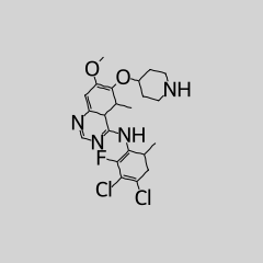 COC1=C(OC2CCNCC2)C(C)C2C(=C1)N=CN=C2NC1=C(F)C(Cl)=C(Cl)CC1C